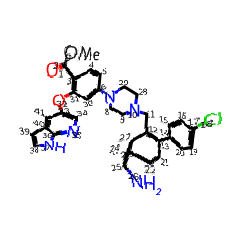 COC(=O)c1ccc(N2CCN(CC3=C(c4ccc(Cl)cc4)CC[C@@](C)(CN)C3)CC2)cc1Oc1cnc2[nH]ccc2c1